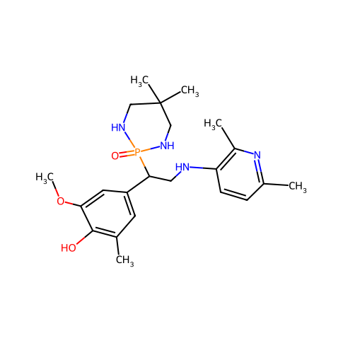 COc1cc(C(CNc2ccc(C)nc2C)P2(=O)NCC(C)(C)CN2)cc(C)c1O